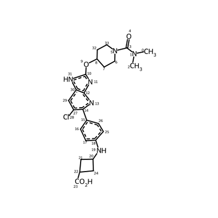 CN(C)C(=O)N1CCC(Oc2nc3nc(-c4ccc(NC5CC(C(=O)O)C5)cc4)c(Cl)cc3[nH]2)CC1